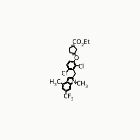 CCOC(=O)[C@H]1CC[C@@H](Oc2ccc(Cl)c(Cc3cc4c(C)cc(C(F)(F)F)cc4n3C)c2Cl)C1